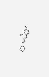 Clc1ccc(CON=Cc2ccccc2)c(Cl)c1